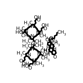 CC1=C(CCC(=O)O)c2cc3[nH]c(cc4nc(cc5[nH]c(cc1n2)c(C)c5C(C)OC(C)C1=C(C)c2cc5[nH]c(cc6nc(cc7[nH]c(cc1n2)c(C)c7CCC(=O)O)C(CCC(=O)O)=C6C)c(C)c5C(C)O)C(C)=C4C(C)O)c(C)c3CCC(=O)O.CCCCCC(=O)O[C@]1(C(C)=O)CC[C@H]2[C@@H]3CCC4=CC(=O)CC[C@]4(C)[C@H]3CC[C@@]21C